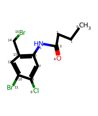 CCCC(=O)Nc1cc(Cl)c(Br)cc1CBr